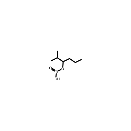 CCCC([O][Ti](=[O])[OH])C(C)C